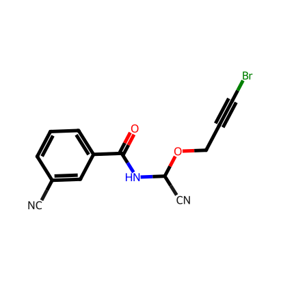 N#Cc1cccc(C(=O)NC(C#N)OCC#CBr)c1